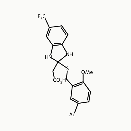 COc1ccc(C(C)=O)cc1CSC1(CC(=O)O)Nc2ccc(C(F)(F)F)cc2N1